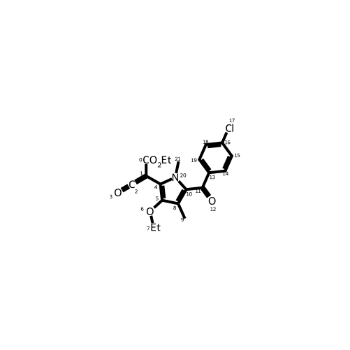 CCOC(=O)C(=C=O)c1c(OCC)c(C)c(C(=O)c2ccc(Cl)cc2)n1C